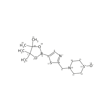 CC1(C)OB(c2cnc(CN3CC[S+]([O-])CC3)s2)OC1(C)C